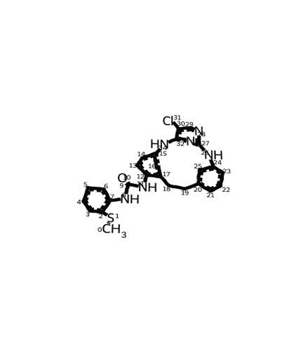 CSc1ccccc1NC(=O)Nc1ccc2cc1CCc1cccc(c1)Nc1ncc(Cl)c(n1)N2